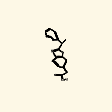 CN(c1ccccc1)c1nc2ccc(CC(=O)O)cc2o1